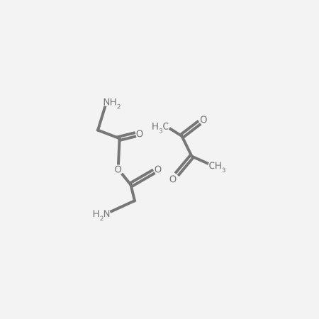 CC(=O)C(C)=O.NCC(=O)OC(=O)CN